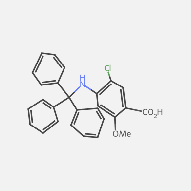 COc1cc(NC(c2ccccc2)(c2ccccc2)c2ccccc2)c(Cl)cc1C(=O)O